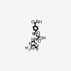 Bc1ncc(NC(=O)[C@@](C)(O)CS(=O)(=O)c2ccc(C(=O)NC)cc2)nc1C(F)(F)F